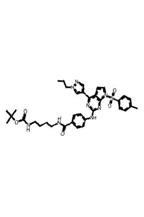 CCCn1cc(-c2nc(Nc3ccc(C(=O)NCCCCNC(=O)OC(C)(C)C)cc3)nc3c2ccn3S(=O)(=O)c2ccc(C)cc2)cn1